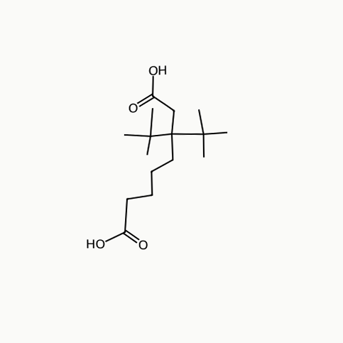 CC(C)(C)C(CCCCC(=O)O)(CC(=O)O)C(C)(C)C